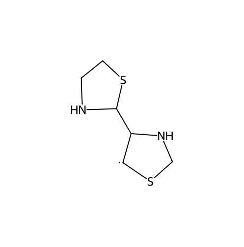 [CH]1SCNC1C1NCCS1